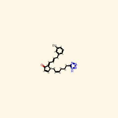 CCc1cccc(C/C=C/C=C2/C(=O)C=C[C@@H]2C/C=C\CCCc2nnn[nH]2)c1